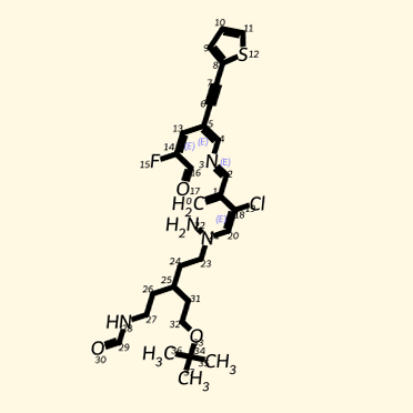 C=C(/C=N/C=C(C#Cc1cccs1)\C=C(\F)C=O)/C(Cl)=C\N(N)CCC(CCNC=O)CCOC(C)(C)C